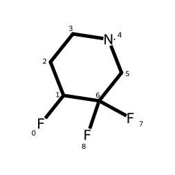 FC1CC[N]CC1(F)F